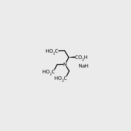 O=C(O)C[C@@H](C(=O)O)N(CC(=O)O)CC(=O)O.[NaH]